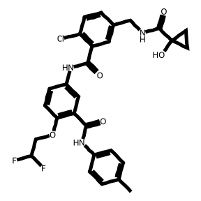 Cc1ccc(NC(=O)c2cc(NC(=O)c3cc(CNC(=O)C4(O)CC4)ccc3Cl)ccc2OCC(F)F)cc1